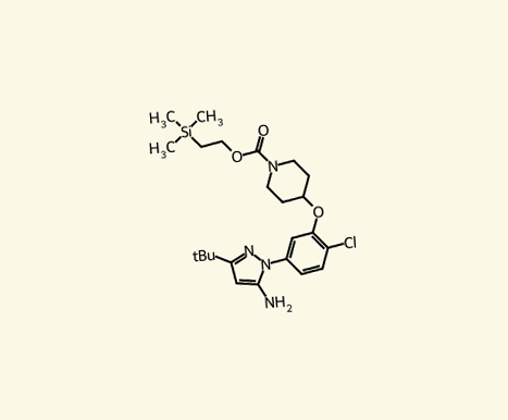 CC(C)(C)c1cc(N)n(-c2ccc(Cl)c(OC3CCN(C(=O)OCC[Si](C)(C)C)CC3)c2)n1